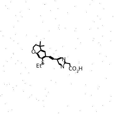 CCSc1cc2c(cc1C#Cc1cnc(CC(=O)O)nc1)C(C)(C)CCO2